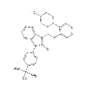 COC(C)(C)c1ccc(-n2c(=O)n(CCc3ccccc3N3CCN(C)CC3)c3ncccc32)cc1